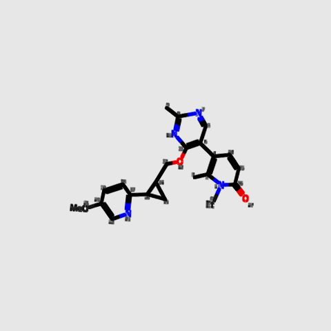 CCn1c(C)c(-c2cnc(C)nc2OCC2CC2c2ccc(OC)cn2)ccc1=O